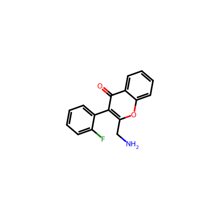 NCc1oc2ccccc2c(=O)c1-c1ccccc1F